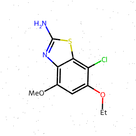 CCOc1cc(OC)c2nc(N)sc2c1Cl